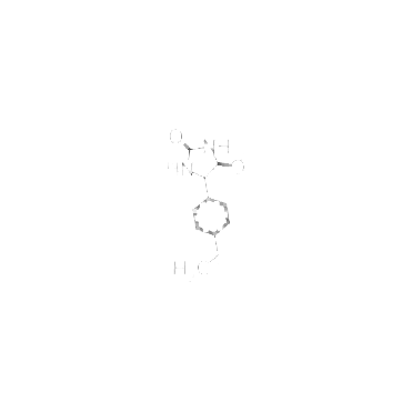 CCc1ccc(C2NC(=O)NC2=O)cc1